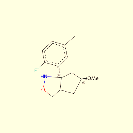 CO[C@H]1CC2CON[C@@]2(c2cc(C)ccc2F)C1